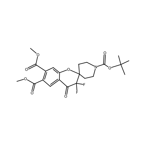 COC(=O)c1cc2c(cc1C(=O)OC)C(=O)C(F)(F)C1(CCN(C(=O)OC(C)(C)C)CC1)O2